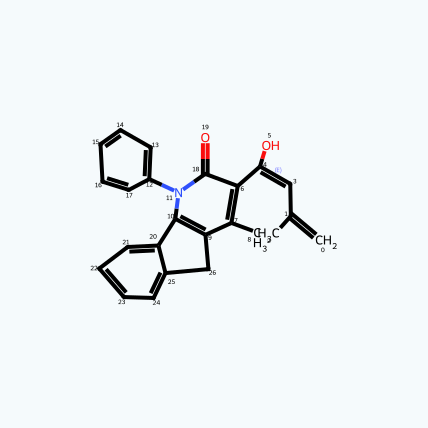 C=C(C)/C=C(/O)c1c(C)c2c(n(-c3ccccc3)c1=O)-c1ccccc1C2